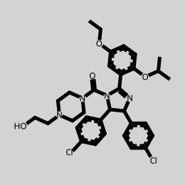 CCOc1ccc(OC(C)C)c(C2=NC(c3ccc(Cl)cc3)C(c3ccc(Cl)cc3)N2C(=O)N2CCN(CCO)CC2)c1